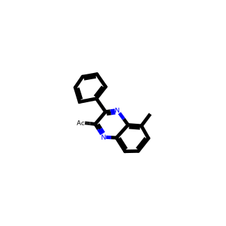 CC(=O)c1nc2cccc(C)c2nc1-c1ccccc1